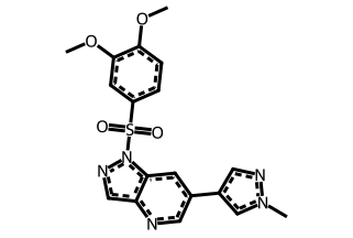 COc1ccc(S(=O)(=O)n2ncc3ncc(-c4cnn(C)c4)cc32)cc1OC